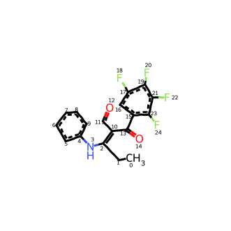 CCC(Nc1ccccc1)=C([C]=O)C(=O)c1cc(F)c(F)c(F)c1F